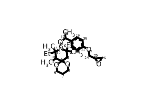 CCC1(C)CC2(OCCCO2)C(C)C(C)(CC)N1OC(C)c1ccc(OCC2CO2)cc1